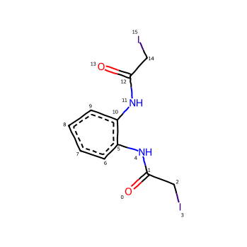 O=C(CI)Nc1ccccc1NC(=O)CI